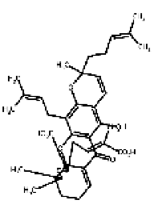 CC(C)=CCCC1(C)C=Cc2c(O)c3c(c(CC=C(C)C)c2O1)OC12C(=CCCC1C(C)(C)OC2(CC=C(C)C(=O)O)C(=O)O)C3=O